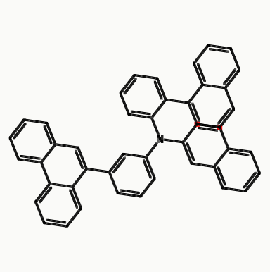 c1cc(-c2cc3ccccc3c3ccccc23)cc(N(c2ccc3ccccc3c2)c2ccccc2-c2cccc3ccccc23)c1